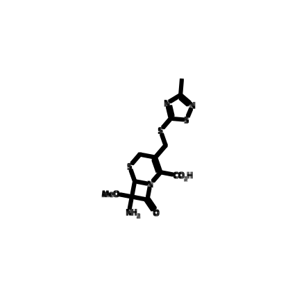 COC1(N)C(=O)N2C(C(=O)O)=C(CSc3nc(C)ns3)CSC21